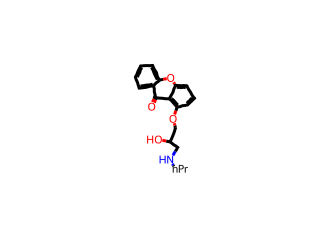 CCCNCC(O)COc1cccc2oc3ccccc3c(=O)c12